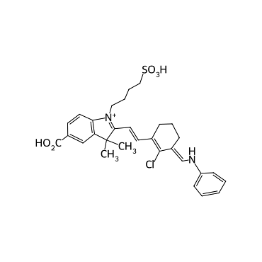 CC1(C)C(C=CC2=C(Cl)C(=CNc3ccccc3)CCC2)=[N+](CCCCS(=O)(=O)O)c2ccc(C(=O)O)cc21